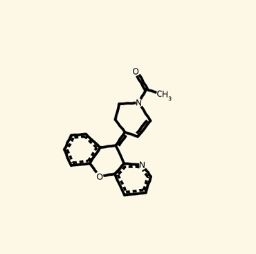 CC(=O)N1C=CC(=C2c3ccccc3Oc3cccnc32)CC1